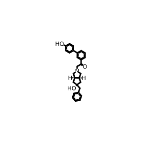 O=C(CN1C[C@@H]2C[C@](O)(Cc3ccccc3)C[C@@H]2C1)c1cccc(-c2ccc(O)cc2)c1